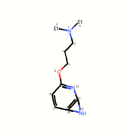 CCN(CC)CCCOc1ccc2c(n1)N2